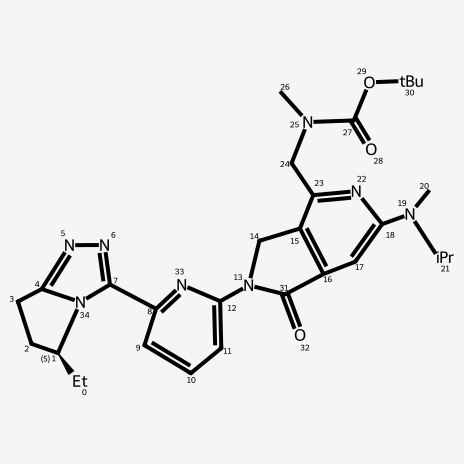 CC[C@H]1CCc2nnc(-c3cccc(N4Cc5c(cc(N(C)C(C)C)nc5CN(C)C(=O)OC(C)(C)C)C4=O)n3)n21